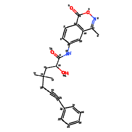 Cc1noc(=O)c2ccc(NC(=O)C(O)CC(C)(C)CC#Cc3ccccc3)cc12